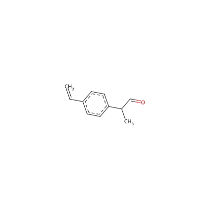 C=Cc1ccc(C(C)C=O)cc1